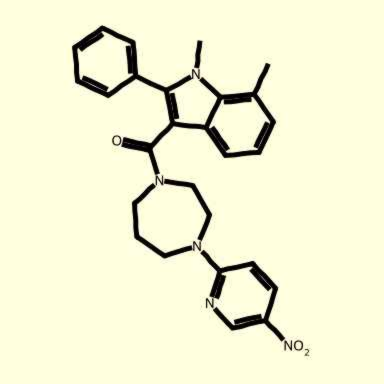 Cc1cccc2c(C(=O)N3CCCN(c4ccc([N+](=O)[O-])cn4)CC3)c(-c3ccccc3)n(C)c12